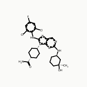 C[C@]1(O)CCC[C@@H](Nc2ncc3nc(Nc4c(Cl)cc(F)cc4Cl)n([C@H]4CC[C@@H](C(N)=O)CC4)c3n2)C1